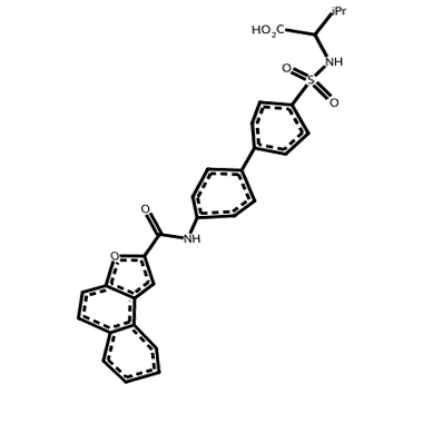 CC(C)C(NS(=O)(=O)c1ccc(-c2ccc(NC(=O)c3cc4c(ccc5ccccc54)o3)cc2)cc1)C(=O)O